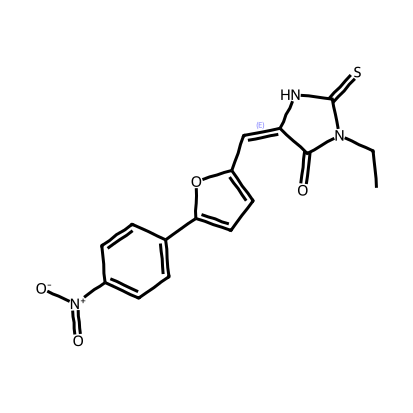 CCN1C(=O)/C(=C\c2ccc(-c3ccc([N+](=O)[O-])cc3)o2)NC1=S